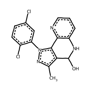 Cc1nn(-c2cc(Cl)ccc2Cl)c2c1C(O)Nc1cccnc1-2